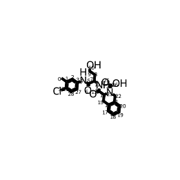 Cc1cc(NC(=O)C(CCO)NC(=O)C2Cc3ccccc3CN2C(=O)O)ccc1Cl